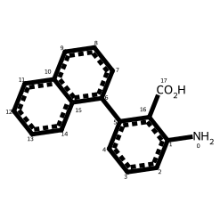 Nc1cccc(-c2cccc3ccccc23)c1C(=O)O